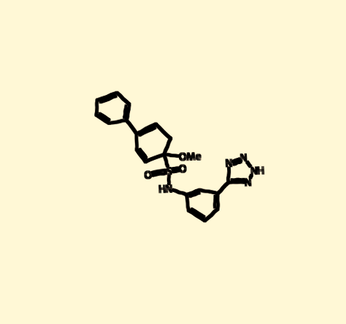 COC1(S(=O)(=O)Nc2cccc(-c3nn[nH]n3)c2)C=CC(c2ccccc2)=CC1